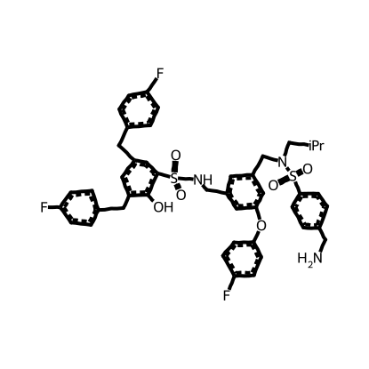 CC(C)CN(Cc1cc(CNS(=O)(=O)c2cc(Cc3ccc(F)cc3)cc(Cc3ccc(F)cc3)c2O)cc(Oc2ccc(F)cc2)c1)S(=O)(=O)c1ccc(CN)cc1